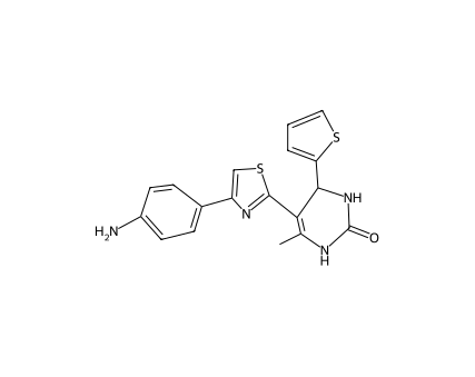 CC1=C(c2nc(-c3ccc(N)cc3)cs2)C(c2cccs2)NC(=O)N1